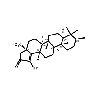 CC(C)C1=C2[C@H]3CC[C@@H]4[C@@]5(C)CC[C@H](C)C(C)(C)[C@@H]5CC[C@@]4(C)[C@]3(C)CC[C@@]2(C(=O)O)CC1=O